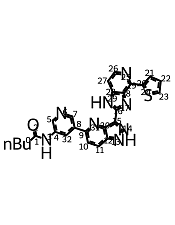 CCCCC(=O)Nc1cncc(-c2ccc3[nH]nc(-c4nc5c(-c6cccs6)nccc5[nH]4)c3n2)c1